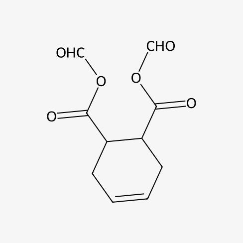 O=COC(=O)C1CC=CCC1C(=O)OC=O